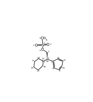 CS(=O)(=O)OC[C@@H](c1ccccc1)N1CCCCC1